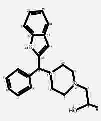 CC(O)CN1CCN(C(c2ccccc2)c2cc3ccccc3o2)CC1